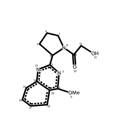 COc1nc(C2CCCN2C(=O)CO)nc2ccccc12